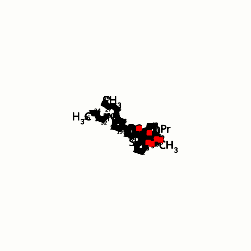 C=C(/C=C\C=C/C)C1(/C(C)=C/C=C\CCC)c2ccc(-c3ccc4c(c3)C(/C=C\C=C/C)N4C/C=C\C=C/C)cc2Sc2cccc(-c3ccccc3)c21